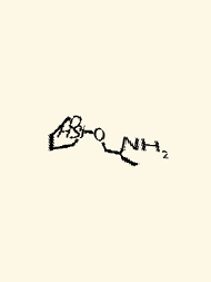 CC(N)CO[SiH]1CCCCO1